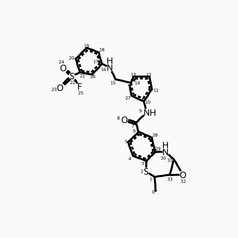 CC1Sc2ccc(C(=O)Nc3cccc(CNc4cccc(S(=O)(=O)F)c4)c3)cc2NC2OC21